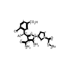 CC(=O)[C@@H](c1cc(C(=O)O)ccc1Cl)c1nn([C@H]2CCN(C(=O)OC(C)(C)C)C2)c(N)c1C(N)=O